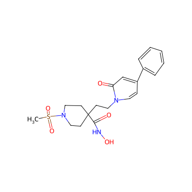 CS(=O)(=O)N1CCC(CCn2ccc(-c3ccccc3)cc2=O)(C(=O)NO)CC1